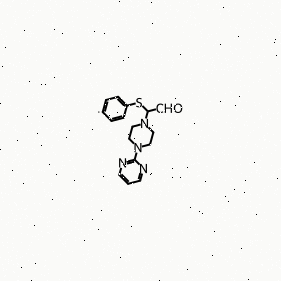 O=CC(Sc1cc[c]cc1)N1CCN(c2ncccn2)CC1